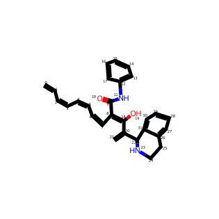 C=C\C=C/C=C\C=C/C(C(=O)Nc1ccccc1)=C(/O)C(=C)C1NCCc2ccccc21